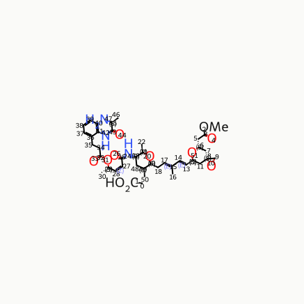 CC(=O)O.COC(=O)C[C@@H]1C[C@@]2(CO2)C[C@@H](/C=C/C(C)=C/C[C@@H]2O[C@H](C)[C@H](NC(=O)/C=C\[C@H](C)OC(=O)CCc3ccccc3NC(=O)[C@H](C)N)C[C@@H]2C)O1